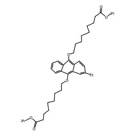 CCc1ccc2c(OCCCCCCCCC(=O)OC(C)C)c3ccccc3c(OCCCCCCCCC(=O)OC(C)C)c2c1